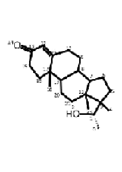 C[C@H](O)C1(C)CCC2C3CCC4=CC(=O)CCC4(C)C3CCC21C